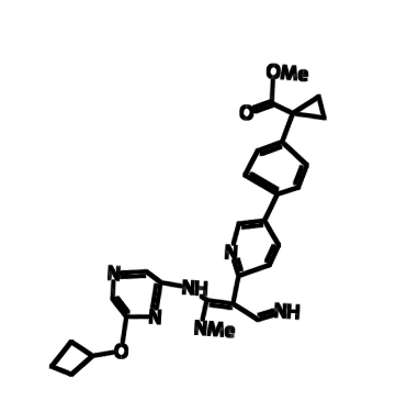 CN/C(Nc1cncc(OC2CCC2)n1)=C(\C=N)c1ccc(-c2ccc(C3(C(=O)OC)CC3)cc2)cn1